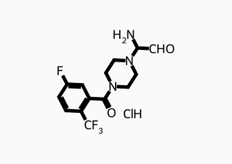 Cl.NC(C=O)N1CCN(C(=O)c2cc(F)ccc2C(F)(F)F)CC1